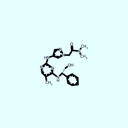 Cc1cnc(Nc2cnn(CC(=O)N(C)C)c2)nc1N[C@H](CO)c1ccccc1